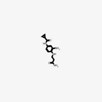 NC(=O)CCNc1ccc(NC(=O)C2CC2)cc1N